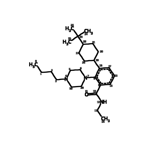 CCCCN1CCN(c2c(C(=O)NCC)cccc2C2CCC(C(C)(C)C)CC2)CC1